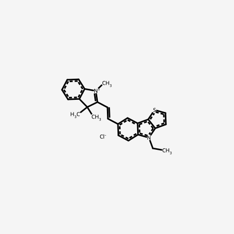 CCn1c2ccc(C=CC3=[N+](C)c4ccccc4C3(C)C)cc2c2sccc21.[Cl-]